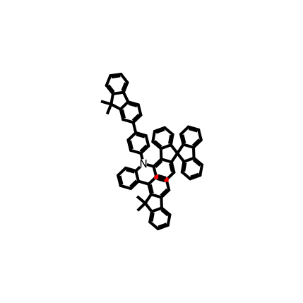 CC1(C)c2ccccc2-c2ccc(-c3ccc(N(c4ccccc4-c4cccc5c4C(C)(C)c4ccccc4-5)c4cccc5c4-c4ccccc4C54c5ccccc5-c5ccccc54)cc3)cc21